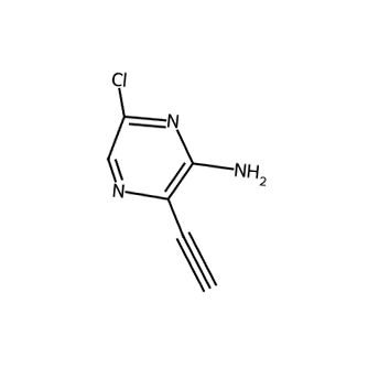 C#Cc1ncc(Cl)nc1N